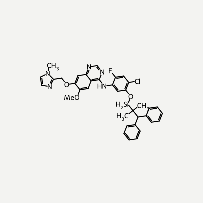 COc1cc2c(Nc3cc(O[SiH2]C(C)(C)C(c4ccccc4)c4ccccc4)c(Cl)cc3F)ncnc2cc1OCc1nccn1C